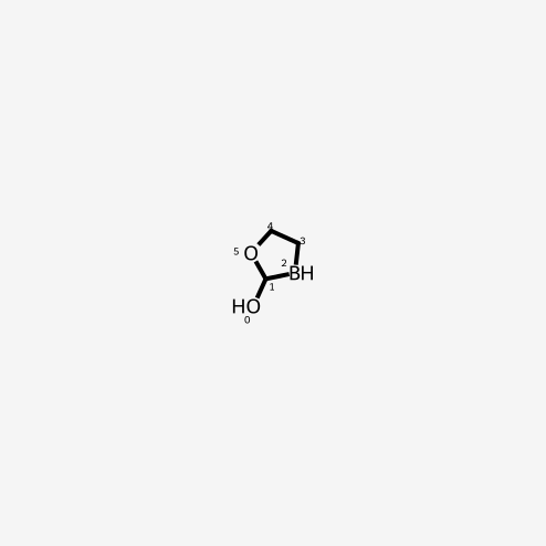 OC1BCCO1